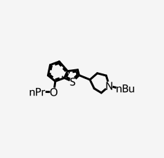 CCCCN1CCC(c2cc3cccc(OCCC)c3s2)CC1